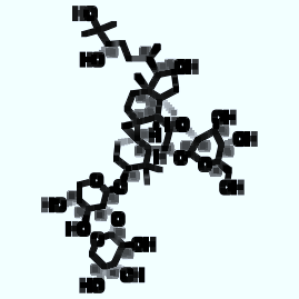 C[C@H](CC[C@H](O)C(C)(C)O)[C@H]1[C@@H](O)C[C@@]2(C)[C@@H]3C[C@H](O[C@@H]4O[C@H](CO)[C@@H](O)[C@H](O)[C@H]4O)[C@H]4C(C)(C)[C@@H](O[C@@H]5OC[C@@H](O)[C@H](O)[C@H]5O[C@H]5OC[C@@H](O)[C@@H](O)[C@@H]5O)CC[C@@]45C[C@@]35CC[C@]12C